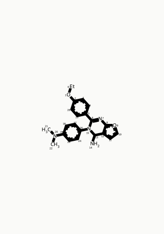 CCOc1ccc(C2=Nc3occc3C(N)N2c2ccc(N(C)C)cc2)cc1